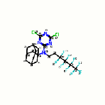 FC(F)(F)C(F)(F)C(F)(F)C(F)(F)CCN(c1nc(Cl)nc(Cl)n1)C12CC3CC(CC(C3)C1)C2